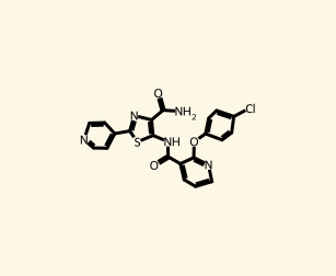 NC(=O)c1nc(-c2ccncc2)sc1NC(=O)c1cccnc1Oc1ccc(Cl)cc1